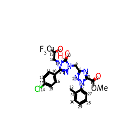 COC(=O)c1nc(Cn2nc(-c3ccc(Cl)cc3)n(CC(O)C(F)(F)F)c2=O)nn1-c1ccccc1C